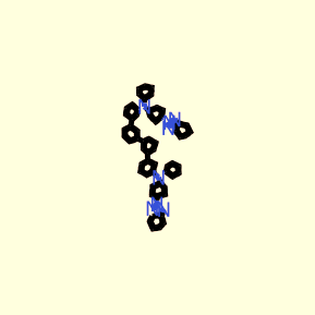 c1ccc(N(c2ccc(-n3nc4ccccc4n3)cc2)c2cccc(-c3cccc(-c4cccc(-c5cccc(N(c6ccccc6)c6ccc(-n7nc8ccccc8n7)cc6)c5)c4)c3)c2)cc1